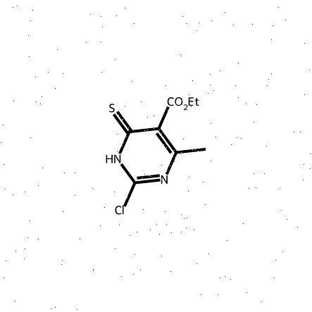 CCOC(=O)c1c(C)nc(Cl)[nH]c1=S